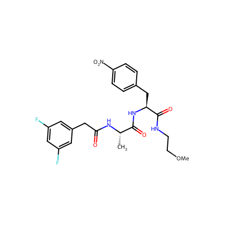 COCCNC(=O)[C@H](Cc1ccc([N+](=O)[O-])cc1)NC(=O)[C@H](C)NC(=O)Cc1cc(F)cc(F)c1